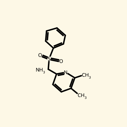 Cc1ccc(CS(=O)(=O)c2ccccc2)nc1C.N